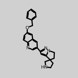 c1ccc(COc2ccc3ncc(-c4cc5n(n4)CCC54CCNC4)cc3c2)cc1